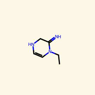 CCN1C=CNCC1=N